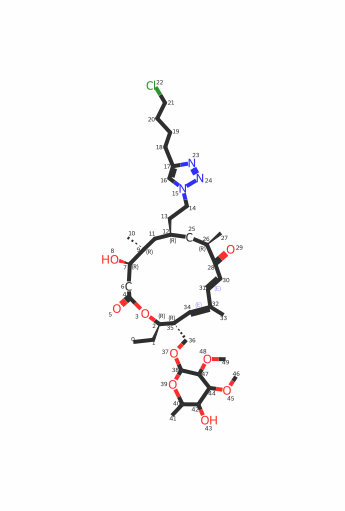 CC[C@H]1OC(=O)C[C@@H](O)[C@H](C)C[C@@H](CCn2cc(CCCCCl)nn2)C[C@@H](C)C(=O)/C=C/C(C)=C/[C@@H]1COC1OC(C)C(O)C(OC)C1OC